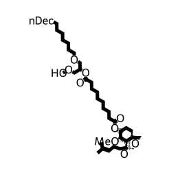 CCCCCCCCCCCCCCCCCOCC(COO)OC(=O)CCCCCCCCC(=O)O[C@@H]1CC[C@]2(CO2)[C@@H]([C@@]2(C)OC2CC=C(C)C)[C@@H]1OC